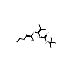 CCC/C=C(\Br)SC(NC(=O)OC(C)(C)C)=C(C)C